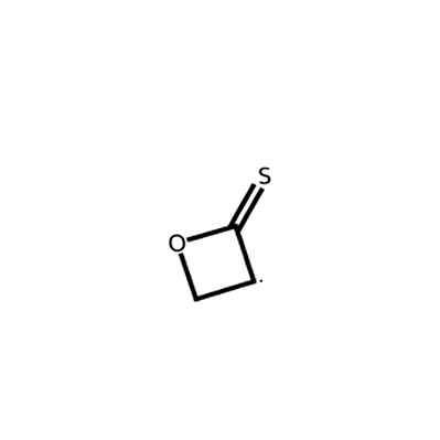 S=C1[CH]CO1